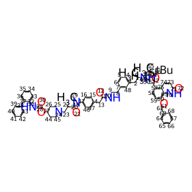 C[C@H](Cc1cccc(CCNC(=O)Cc2ccc(N(C)C(=O)CCN3CCC(OC(=O)Nc4ccccc4-c4ccccc4)CC3)cc2)c1)NC[C@H](O[Si](C)(C)C(C)(C)C)c1ccc(OCc2ccccc2)c2[nH]c(=O)ccc12